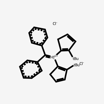 CC(C)(C)C1=[C]([Hf+2]([C]2=C(C(C)(C)C)C=CC2)=[C](c2ccccc2)c2ccccc2)CC=C1.[Cl-].[Cl-]